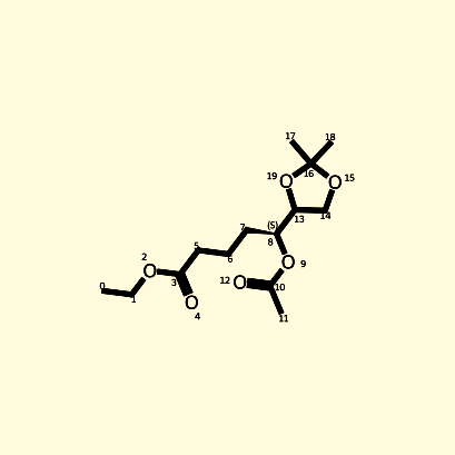 CCOC(=O)CCC[C@H](OC(C)=O)C1COC(C)(C)O1